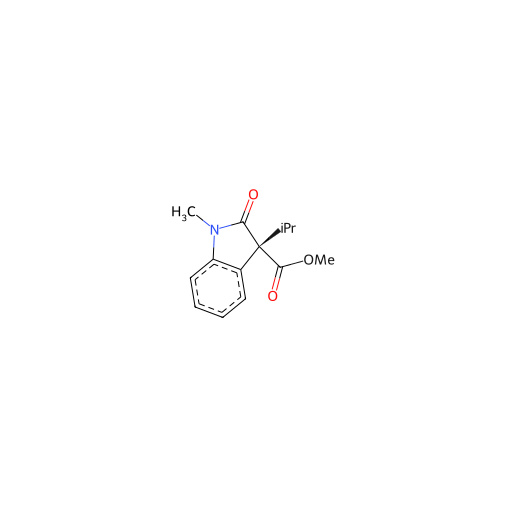 COC(=O)[C@@]1(C(C)C)C(=O)N(C)c2ccccc21